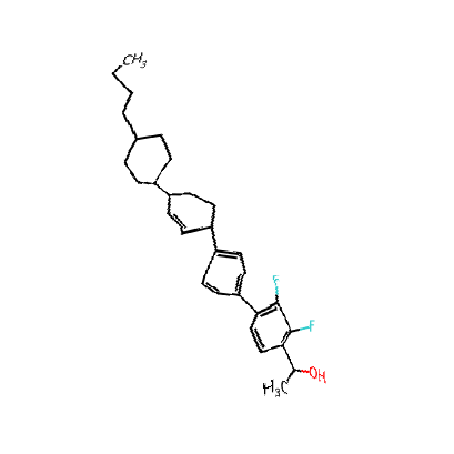 CCCCC1CCC(C2C=CC(c3ccc(-c4ccc(C(C)O)c(F)c4F)cc3)CC2)CC1